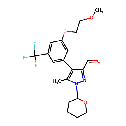 COCCOc1cc(-c2c(C=O)nn(C3CCCCO3)c2C)cc(C(F)(F)F)c1